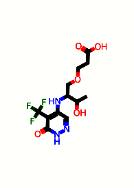 CC(O)C(COCCC(=O)O)Nc1cn[nH]c(=O)c1C(F)(F)F